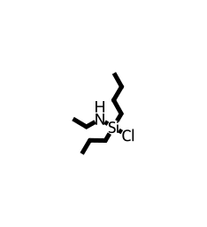 CCCC[Si](Cl)(CCC)NCC